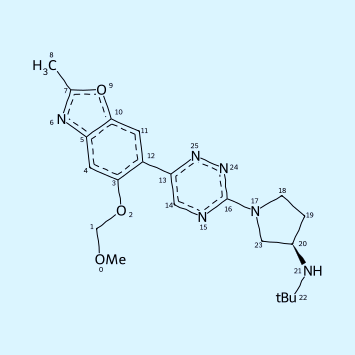 COCOc1cc2nc(C)oc2cc1-c1cnc(N2CC[C@@H](NC(C)(C)C)C2)nn1